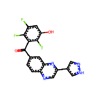 O=C(c1ccc2ncc(-c3cn[nH]c3)nc2c1)c1c(F)c(O)cc(F)c1F